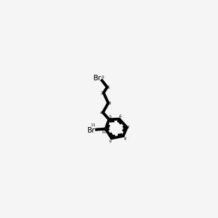 BrCCCCc1ccccc1Br